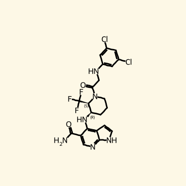 NC(=O)c1cnc2[nH]ccc2c1N[C@@H]1CCCN(C(=O)CNc2cc(Cl)cc(Cl)c2)[C@@H]1C(F)(F)F